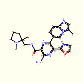 Cc1cnc2ccc(-c3nc(C(=O)NCC4(C)CCCN4C)c(N)nc3-c3ncco3)cn12